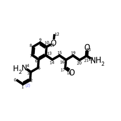 C/C=C\C(N)Cc1cccc(OC)c1CCC(C=O)CCC(N)=O